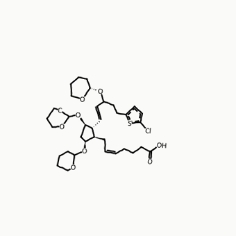 O=C(O)CCC/C=C\C[C@@H]1[C@@H](/C=C/C(CCc2ccc(Cl)s2)O[C@H]2CCCCO2)[C@H](OC2CCCCO2)C[C@@H]1OC1CCCCO1